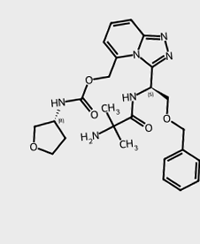 CC(C)(N)C(=O)N[C@H](COCc1ccccc1)c1nnc2cccc(COC(=O)N[C@@H]3CCOC3)n12